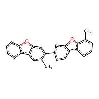 Cc1cc2c(cc1-c1ccc3c(c1)oc1c(C)cccc13)oc1ccccc12